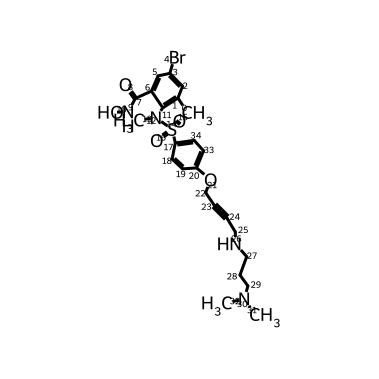 Cc1cc(Br)cc(C(=O)NO)c1N(C)S(=O)(=O)c1ccc(OCC#CCNCCCN(C)C)cc1